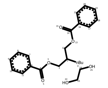 CCCCC(COC(=O)c1ccccc1)COC(=O)c1ccccc1.OCCO